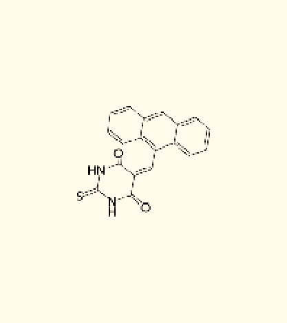 O=C1NC(=S)NC(=O)C1=Cc1c2ccccc2cc2ccccc12